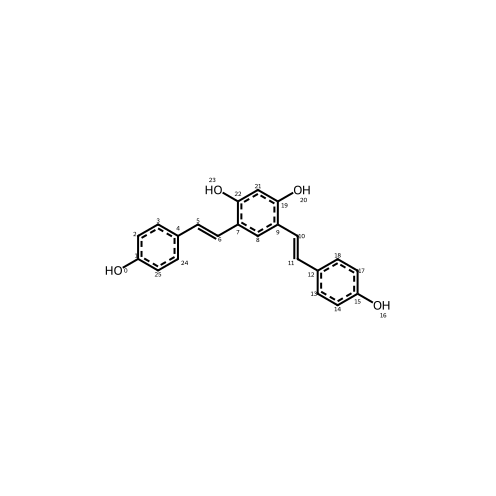 Oc1ccc(C=Cc2cc(C=Cc3ccc(O)cc3)c(O)cc2O)cc1